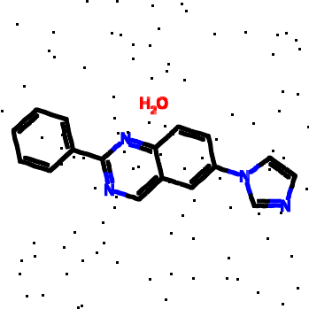 O.c1ccc(-c2ncc3cc(-n4ccnc4)ccc3n2)cc1